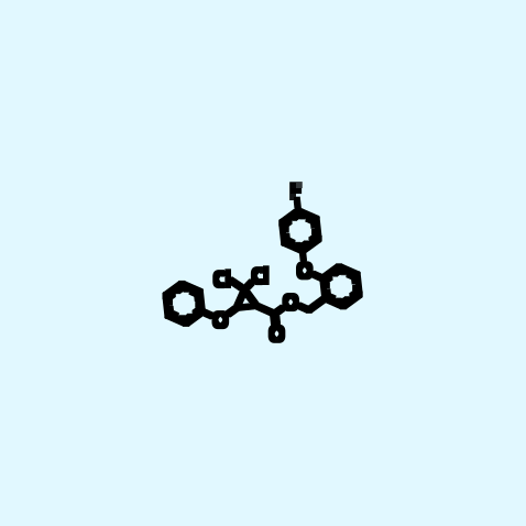 O=C(OCc1ccccc1Oc1ccc(F)cc1)C1C(Oc2ccccc2)C1(Cl)Cl